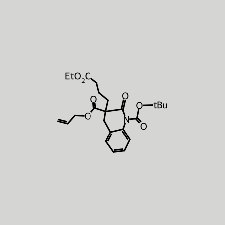 C=CCOC(=O)C1(CCCC(=O)OCC)Cc2ccccc2N(C(=O)OC(C)(C)C)C1=O